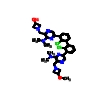 COC1CN(Cc2ncc(-c3cccc(-c4cccc(-c5cnc(CN6CC(O)C6)c(N(C)C)n5)c4Cl)c3Cl)nc2N(C)C)C1